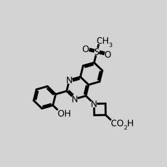 CS(=O)(=O)c1ccc2c(N3CC(C(=O)O)C3)nc(-c3ccccc3O)nc2c1